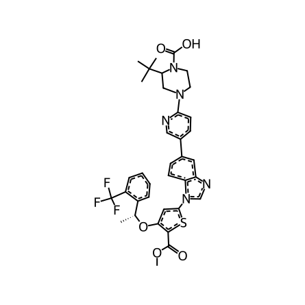 COC(=O)c1sc(-n2cnc3cc(-c4ccc(N5CCN(C(=O)O)C(C(C)(C)C)C5)nc4)ccc32)cc1O[C@H](C)c1ccccc1C(F)(F)F